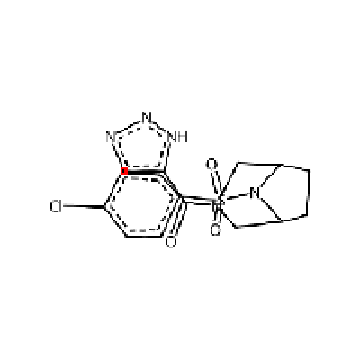 O=C(c1cnn[nH]1)N1CC2CCC(C1)N2S(=O)(=O)c1ccc(Cl)cc1